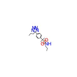 CCCNS(=O)(=O)C(C)(C)c1ccc(C2(CCC)N=NN=N2)cc1